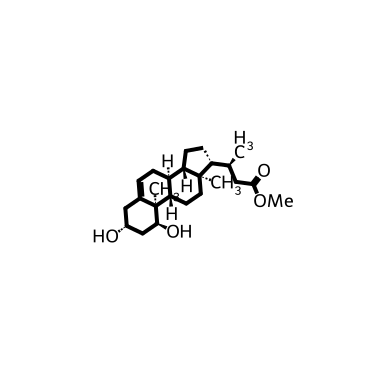 COC(=O)C[C@H](C)[C@H]1CC[C@H]2[C@@H]3CC=C4C[C@@H](O)C[C@H](O)[C@]4(C)[C@H]3CC[C@]12C